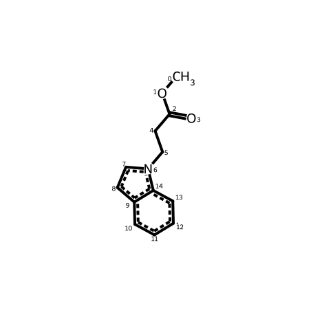 COC(=O)CCn1ccc2cc[c]cc21